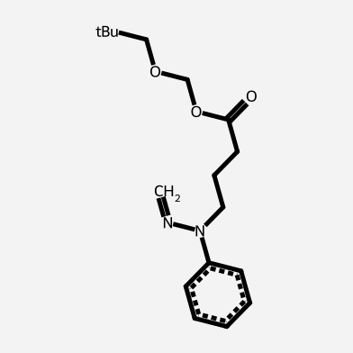 C=NN(CCCC(=O)OCOCC(C)(C)C)c1ccccc1